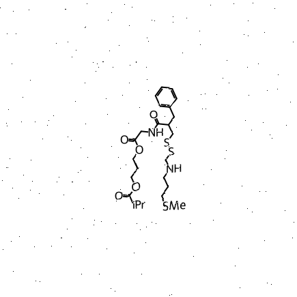 CSCCCNCSSCC(Cc1ccccc1)C(=O)NCC(=O)OCCCOC(=O)C(C)C